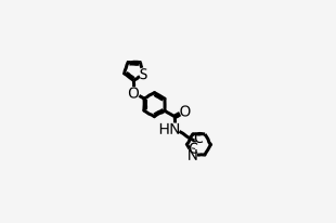 O=C(NC1CC2CCN(CC2)C1)c1ccc(Oc2cccs2)cc1